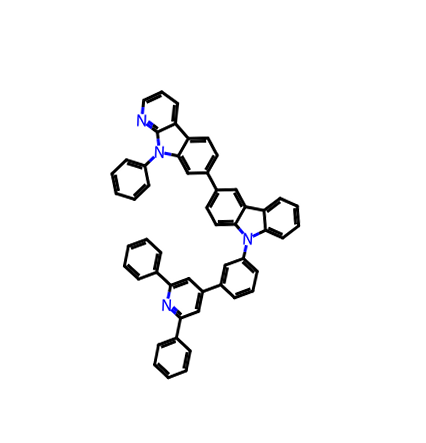 c1ccc(-c2cc(-c3cccc(-n4c5ccccc5c5cc(-c6ccc7c8cccnc8n(-c8ccccc8)c7c6)ccc54)c3)cc(-c3ccccc3)n2)cc1